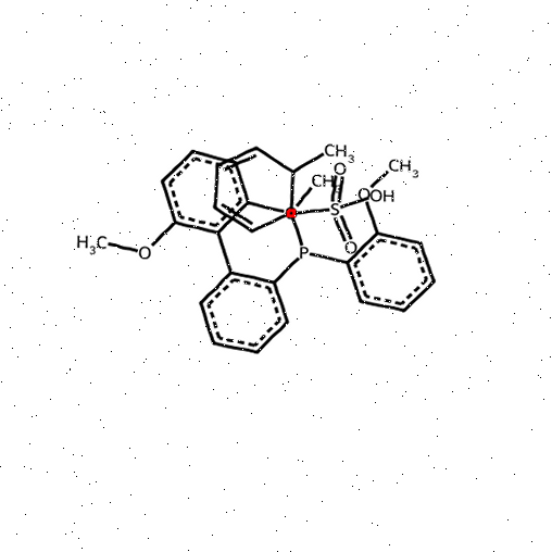 COc1ccccc1P(c1ccccc1-c1c(OC)cccc1OC)C1(S(=O)(=O)O)C=CC=CC1C